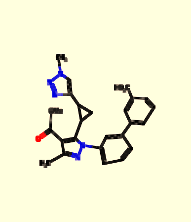 COC(=O)c1c(C)nn(-c2cccc(-c3cccc(C(=O)O)c3)c2)c1C1CC1c1cn(C)nn1